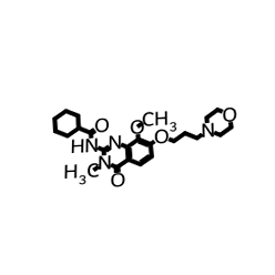 COc1c(OCCCN2CCOCC2)ccc2c(=O)n(C)c(NC(=O)C3CCCCC3)nc12